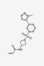 C=CC(=O)NC1CN(S(=O)(=O)c2cccc(-c3ccnn3C)c2)C1